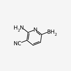 Bc1ccc(C#N)c(N)n1